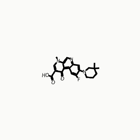 Cn1cc(C(=O)O)c(=O)c2c3cc(F)c(N4CCCC(C)(C)C4)cc3ncc21